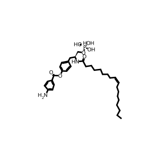 CCCCCCCC/C=C\CCCCCCCC(=O)N[C@H](CO[PH](O)(O)O)Cc1ccc(OC(=O)c2ccc(N)cc2)cc1